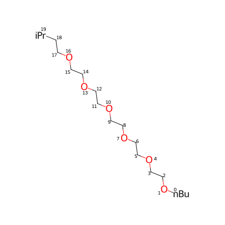 CCCCOCCOCCOCCOCCOCCOCCC(C)C